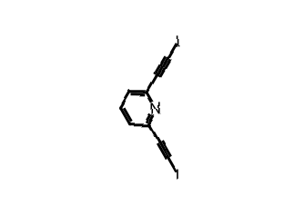 IC#Cc1cccc(C#CI)n1